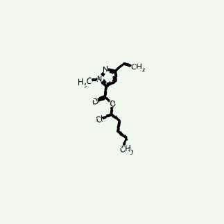 CCCCC(Cl)OC(=O)c1cc(CC)nn1C